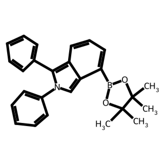 CC1(C)OB(c2cccc3c(-c4ccccc4)n(-c4ccccc4)cc23)OC1(C)C